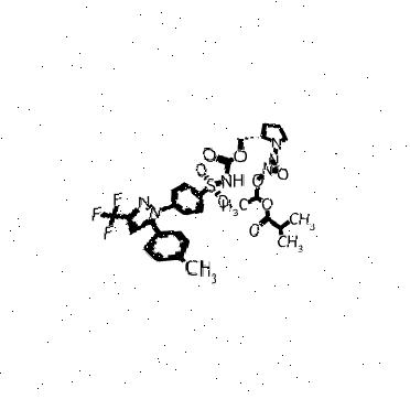 Cc1ccc(-c2cc(C(F)(F)F)nn2-c2ccc(S(=O)(=O)NC(=O)OC[C@@H]3CCCN3n3on3OC(C)OC(=O)C(C)C)cc2)cc1